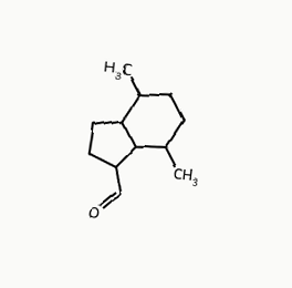 CC1CCC(C)C2C(C=O)CCC12